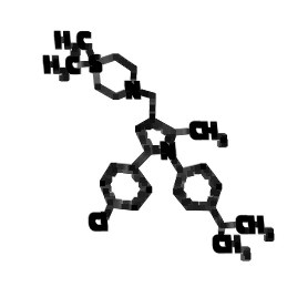 Cc1c(CN2CCS(C)(C)CC2)cc(-c2ccc(Cl)cc2)n1-c1ccc(C(C)C)cc1